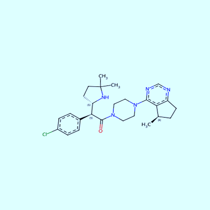 C[C@@H]1CCc2ncnc(N3CCN(C(=O)[C@@H](c4ccc(Cl)cc4)[C@@H]4CCC(C)(C)N4)CC3)c21